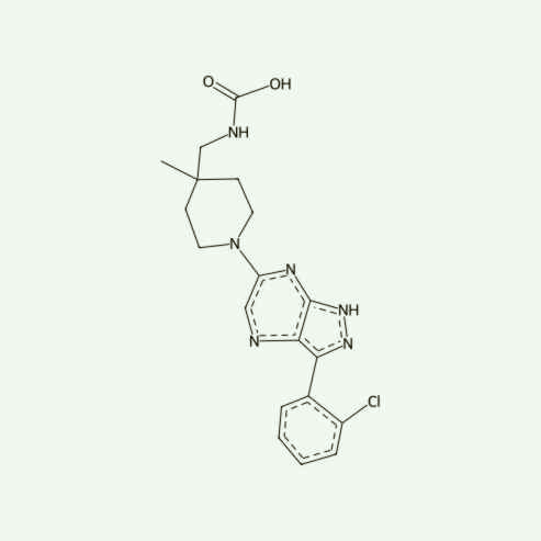 CC1(CNC(=O)O)CCN(c2cnc3c(-c4ccccc4Cl)n[nH]c3n2)CC1